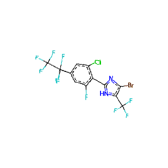 Fc1cc(C(F)(F)C(F)(F)F)cc(Cl)c1-c1nc(Br)c(C(F)(F)F)[nH]1